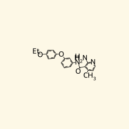 CCOc1ccc(Oc2cccc(NC(=O)c3c(C)ccnc3N)c2)cc1